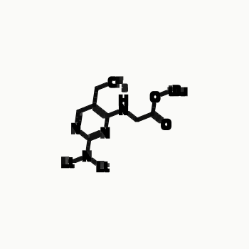 CCN(CC)c1ncc(CC(F)(F)F)c(NCC(=O)OC(C)(C)C)n1